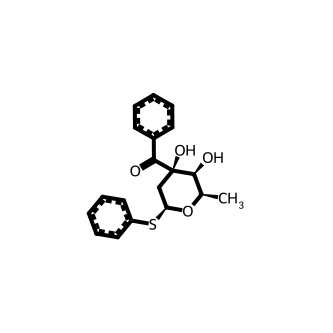 C[C@H]1O[C@@H](Sc2ccccc2)C[C@](O)(C(=O)c2ccccc2)[C@H]1O